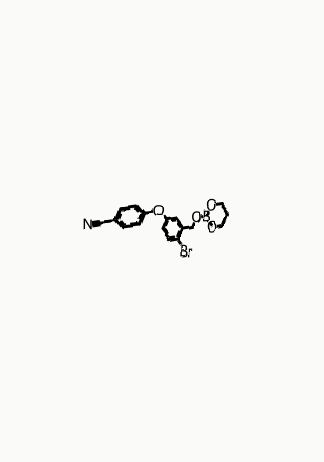 N#Cc1ccc(Oc2ccc(Br)c(COB3OCCCO3)c2)cc1